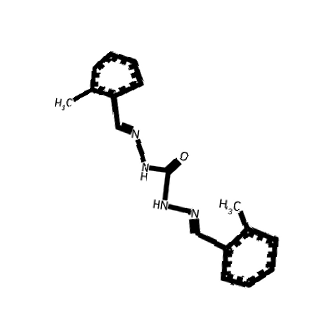 Cc1ccccc1/C=N/NC(=O)N/N=C/c1ccccc1C